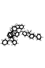 CC1(C)c2ccccc2-c2ccc(N(c3ccc4c(c3)C(C)(C)c3cc(-c5ccccc5)ccc3-4)c3cccc4oc5ccc(-c6ccc7c(c6)c6ccccc6n7-c6ccccc6)cc5c34)cc21